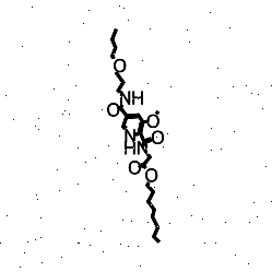 CCCCCCCCOC(=O)CNC(=O)c1ncc(C(=O)NCCCOCCCC)cc1OC